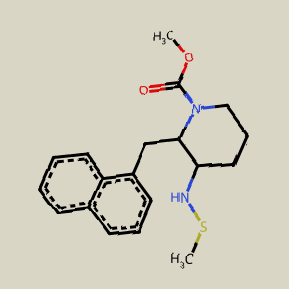 COC(=O)N1CCCC(NSC)C1Cc1cccc2ccccc12